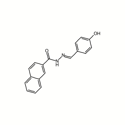 O=C(N/N=C/c1ccc(O)cc1)c1ccc2ccccc2c1